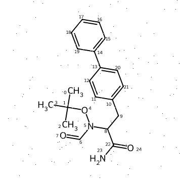 CC(C)(C)ON(C=O)C(Cc1ccc(-c2ccccc2)cc1)C(N)=O